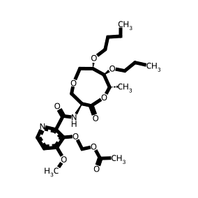 CCCCO[C@H]1COC[C@H](NC(=O)c2nccc(OC)c2OCOC(C)=O)C(=O)O[C@@H](C)[C@@H]1OCCC